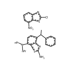 CCCN(CCC)c1ccc(C(C)c2ccccc2)c2nc(N)sc12.O=[N+]([O-])c1cccc2nc(Cl)sc12